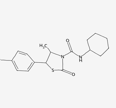 CC1C(c2ccc(Br)cc2)SC(=O)N1C(=O)NC1CCCCC1